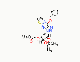 CCCSc1nc(OCc2ccccc2)c2nnn([C@@H]3C[C@H](OCC(=O)OC)[C@H]4OC(C)(C)O[C@H]43)c2n1